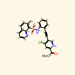 COC(=O)c1cc(Cl)c(C#Cc2ccccc2NS(=O)(=O)c2c(C)ccc3cccnc23)cn1